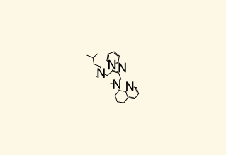 CC(C)CCN(C)Cc1c(CN(C)[C@H]2CCCc3cccnc32)nc2ccccn12